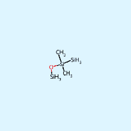 C[Si](C)([SiH3])O[SiH3]